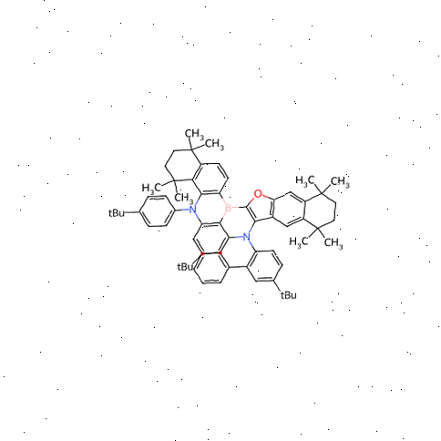 CC(C)(C)c1ccc(N2c3cc(C(C)(C)C)cc4c3B(c3ccc5c(c32)C(C)(C)CCC5(C)C)c2oc3cc5c(cc3c2N4c2ccc(C(C)(C)C)cc2-c2ccccc2)C(C)(C)CCC5(C)C)cc1